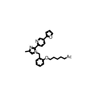 CC(=O)CCCCCOc1ccccc1Cn1cc(C)nc1-c1ccc(-c2ccco2)cn1